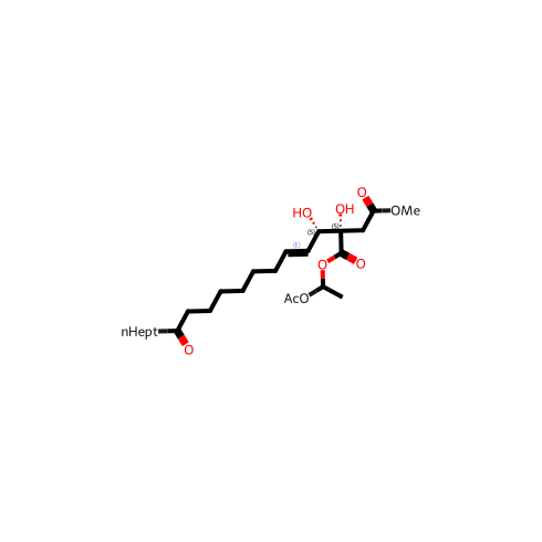 CCCCCCCC(=O)CCCCCC/C=C/[C@H](O)[C@@](O)(CC(=O)OC)C(=O)OC(C)OC(C)=O